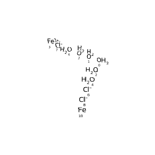 O.O.O.O.O.O.[Cl-].[Cl-].[Cl-].[Fe+3].[Fe]